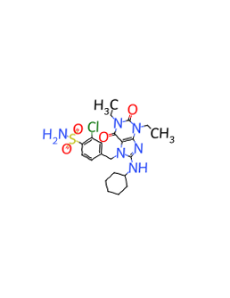 CCn1c(=O)c2c(nc(NC3CCCCC3)n2Cc2ccc(S(N)(=O)=O)c(Cl)c2)n(CC)c1=O